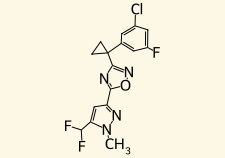 Cn1nc(-c2nc(C3(c4cc(F)cc(Cl)c4)CC3)no2)cc1C(F)F